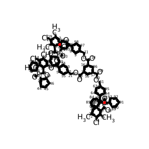 Cc1cc(OC(=O)c2ccc(COC(=O)c3cc(C(=O)OCc4ccc(C(=O)Oc5cc(C)c(Cl)c(C)c5C(=O)P(=O)(c5ccccc5)c5ccccc5)cc4)cc(C(=O)OCc4ccc(C(=O)Oc5cc(C)c(Cl)c(C)c5C(=O)P(=O)(c5ccccc5)c5ccccc5)cc4)c3)cc2)c(C(=O)P(=O)(c2ccccc2)c2ccccc2)c(C)c1Cl